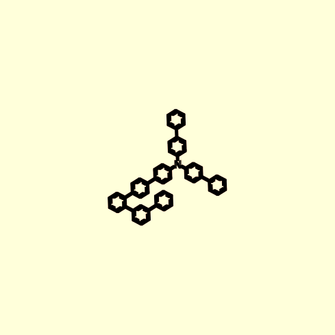 c1ccc(-c2ccc(N(c3ccc(-c4ccccc4)cc3)c3ccc(-c4ccc(-c5ccccc5-c5cccc(-c6ccccc6)c5)cc4)cc3)cc2)cc1